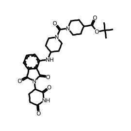 CC(C)(C)OC(=O)C1CCN(C(=O)N2CCC(Nc3cccc4c3C(=O)N(C3CCC(=O)NC3=O)C4=O)CC2)CC1